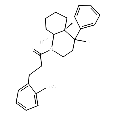 COc1ccccc1CCC(=O)N1CCC(O)(c2ccccc2)[C@H]2CCCC[C@@H]21